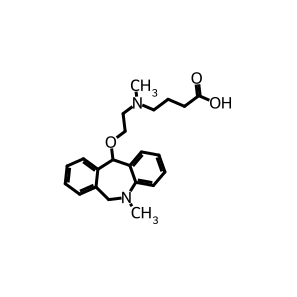 CN(CCCC(=O)O)CCOC1c2ccccc2CN(C)c2ccccc21